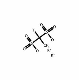 O=S(=O)([O-])C(F)(C(F)(F)F)S(=O)(=O)[O-].[K+].[K+]